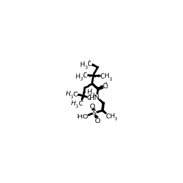 CCC(C)(C)C(CC(C)(C)C)C(=O)NCC(C)S(=O)(=O)O